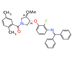 CO[C@@H]1CN(C(=O)c2cc(C)ccc2C)C[C@H]1Oc1cccc(N=C(c2ccccc2)c2ccccc2)c1F